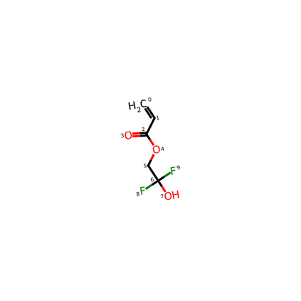 C=CC(=O)OCC(O)(F)F